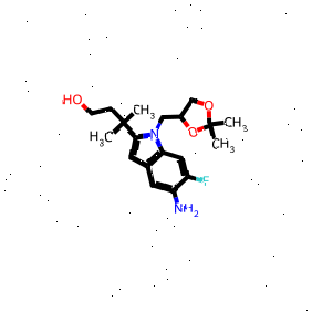 CC1(C)OCC(Cn2c(C(C)(C)CCO)cc3cc(N)c(F)cc32)O1